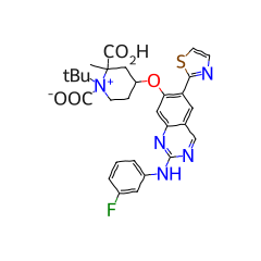 CC(C)(C)[N+]1(C(=O)[O-])CCC(Oc2cc3nc(Nc4cccc(F)c4)ncc3cc2-c2nccs2)CC1(C)C(=O)O